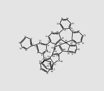 c1ccc(-c2cc(-c3cccnc3)nc(-c3ccc4c(c3)C3(c5ccccc5-c5ccccc5-4)c4ccccc4-c4c3ccc3c4sc4ccccc43)n2)cc1